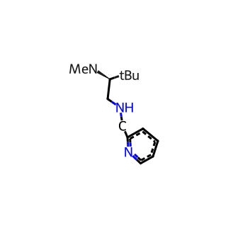 CN[C@H](CNCc1ccccn1)C(C)(C)C